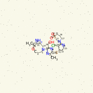 Cc1nc(N2CCCO[C@@H](C)[C@@H](N)CC2)c(CO)nc1Sc1ccnc(N2CCCS(=O)(=O)C2)c1Cl